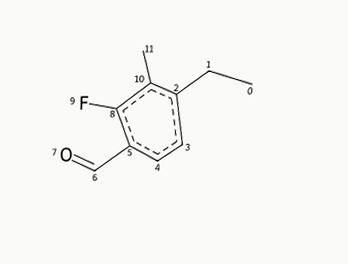 CCc1ccc(C=O)c(F)c1C